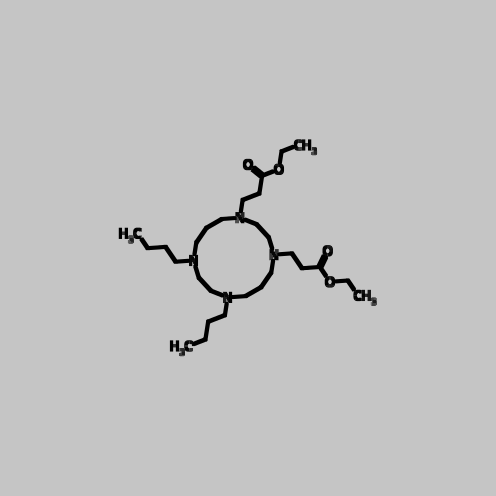 CCCCN1CCCN(CCC(=O)OCC)CCN(CCC(=O)OCC)CCCN(CCCC)CC1